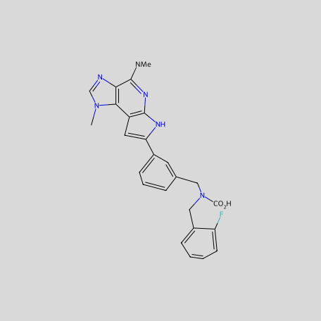 CNc1nc2[nH]c(-c3cccc(CN(Cc4ccccc4F)C(=O)O)c3)cc2c2c1ncn2C